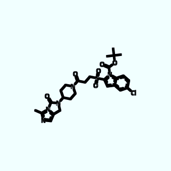 Cc1ncc2n1C(=O)N(C1CCN(C(=O)CCS(=O)(=O)c3cc4cc(Cl)ccc4n3C(=O)OC(C)(C)C)CC1)C2